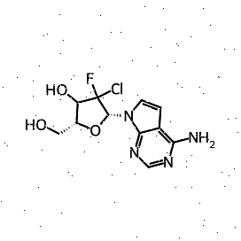 Nc1ncnc2c1ccn2[C@@H]1O[C@H](CO)C(O)C1(F)Cl